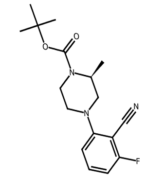 C[C@H]1CN(c2cccc(F)c2C#N)CCN1C(=O)OC(C)(C)C